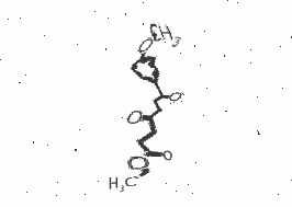 CCOC(=O)CCC(=O)CCC(=O)c1ccc(OC)cc1